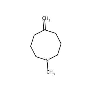 C=C1CCCN(C)CCC1